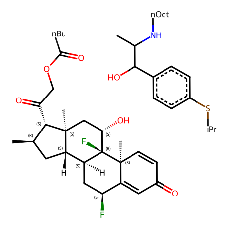 CCCCC(=O)OCC(=O)[C@H]1[C@H](C)C[C@H]2[C@@H]3C[C@H](F)C4=CC(=O)C=C[C@]4(C)[C@@]3(F)[C@@H](O)C[C@@]21C.CCCCCCCCNC(C)C(O)c1ccc(SC(C)C)cc1